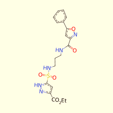 CCOC(=O)c1cc(S(=O)(=O)NCCCNC(=O)c2cc(-c3ccccc3)on2)[nH]n1